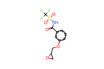 O=C(NS(=O)(=O)C(F)(F)F)c1cccc(OCC2CO2)c1